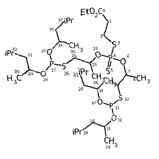 CCOC(=O)CCSP(=S)(OC(C)CSP(OC(C)CC(C)C)OC(C)CC(C)C)OC(C)CSP(OC(C)CC(C)C)OC(C)CC(C)C